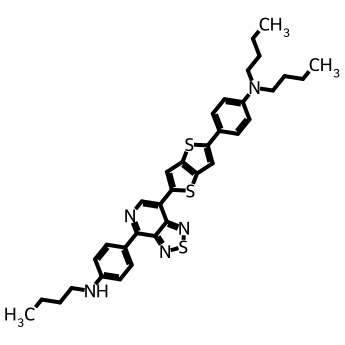 CCCCNc1ccc(-c2ncc(-c3cc4sc(-c5ccc(N(CCCC)CCCC)cc5)cc4s3)c3nsnc23)cc1